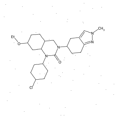 CCOC1CCC2CN(C3CCc4nn(C)cc4C3)C(=O)N(C3CCC(Cl)CC3)C2C1